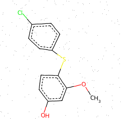 COc1cc(O)ccc1Sc1ccc(Cl)cc1